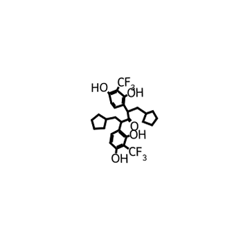 O=C(C(CC1CCCC1)c1ccc(O)c(C(F)(F)F)c1O)C(CC1CCCC1)c1ccc(O)c(C(F)(F)F)c1O